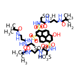 C=C(C)C(=O)NCCCNC(=O)C(CS(=O)(=O)O)NS(=O)(=O)c1cc(O)c2ccc3c(S(=O)(=O)NC(CS(=O)(=O)O)C(=O)NCCCNC(=O)C(=C)C)cc(S(=O)(=O)NC(CS(=O)(=O)O)C(=O)NCCCNC(=O)C(=C)C)c4ccc1c2c34